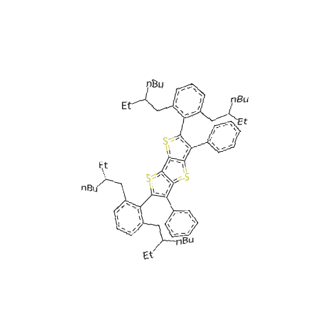 CCCCC(CC)Cc1cccc(CC(CC)CCCC)c1-c1sc2c(sc3c(-c4ccccc4)c(-c4c(CC(CC)CCCC)cccc4CC(CC)CCCC)sc32)c1-c1ccccc1